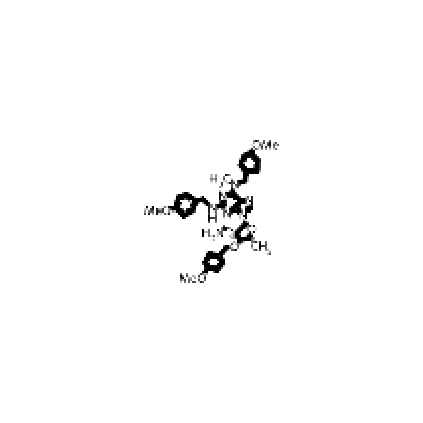 COc1ccc(CNc2nc(N(C)Cc3ccc(OC)cc3)c3ncn([C@@H]4O[C@H](C)[C@@H](OCc5ccc(OC)cc5)[C@@H]4CN)c3n2)cc1